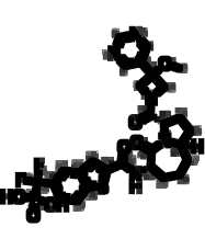 COC1(c2cncnc2)CN(C(=O)[C@@H]2CC[C@@H]3CCC[C@H](NC(=O)c4cc5cc(C(F)(F)P(=O)(O)O)ccc5s4)C(=O)N32)C1